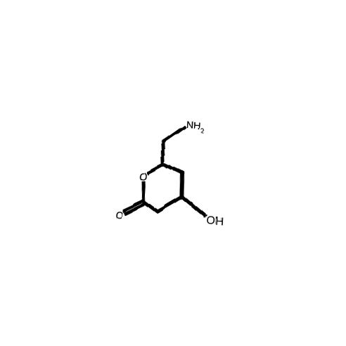 NCC1CC(O)CC(=O)O1